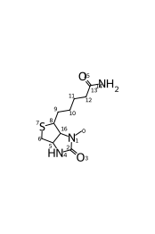 CN1C(=O)NC2CSC(CCCCC(N)=O)C21